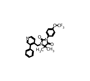 CC1(C)C(=O)N(c2ccc(OC(F)(F)F)cc2)C(=O)N1Cc1ccncc1-c1ccccc1